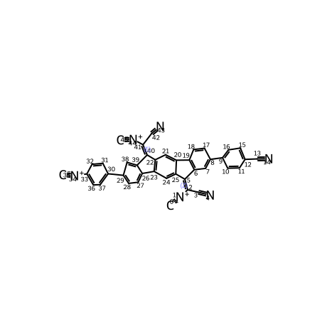 [C-]#[N+]/C(C#N)=C1/c2cc(-c3ccc(C#N)cc3)ccc2-c2cc3c(cc21)-c1ccc(-c2ccc([N+]#[C-])cc2)cc1/C3=C(/C#N)[N+]#[C-]